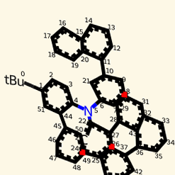 CC(C)(C)c1ccc(N(c2cccc(-c3cccc4ccccc34)c2)c2ccccc2-c2cccc3cccc(-c4ccccc4)c23)c(-c2ccccc2)c1